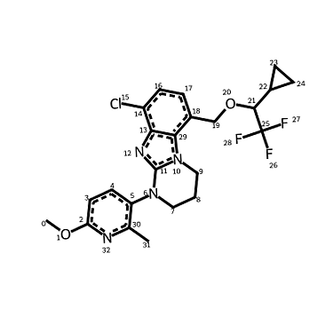 COc1ccc(N2CCCn3c2nc2c(Cl)ccc(COC(C4CC4)C(F)(F)F)c23)c(C)n1